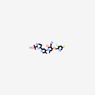 Cc1cnc(-c2ccnc(C(C)(C)O)n2)cc1-n1c(C)cc(OCc2ncc(F)cc2F)c(C#N)c1=O